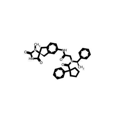 C[C@H](c1ccccc1)N(CC(=O)Nc1ccc2c(c1)C[C@@]1(C2)C(=O)NC(=O)N1C)C(=O)C1(c2ccccc2)CCCC1